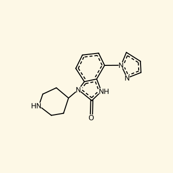 O=c1[nH]c2c(-n3cccn3)cccc2n1C1CCNCC1